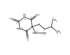 CC(C)CCC1(NO)C(=O)NC(=O)NC1=O